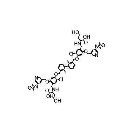 Cc1c(COc2cc(OCc3cncc(N=S(C)(C)=O)c3)c(CNC(CCO)C(=O)O)cc2Cl)cccc1-c1cccc(COc2cc(OCc3cncc(N=S(C)(C)=O)c3)c(CNC(CCO)C(=O)O)cc2Cl)c1C